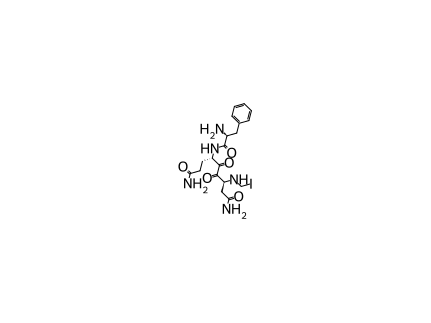 NC(=O)CC[C@H](NC(=O)[C@@H](N)Cc1ccccc1)C(=O)C(=O)[C@H](CC(N)=O)NCI